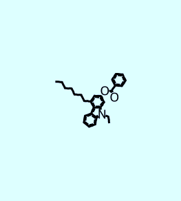 CCCCCCCc1cc(OC(=O)c2ccccc2)cc2c1c1ccccc1n2CC